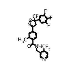 Cc1cc(C2=NOC(c3cc(F)c(F)c(F)c3)(C(F)(F)F)C2)ccc1C(=O)NCc1cnccc1C(F)(F)F